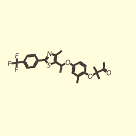 CC(=O)C(C)(C)Oc1ccc(OC(C)c2sc(-c3ccc(C(F)(F)F)cc3)nc2C)cc1C